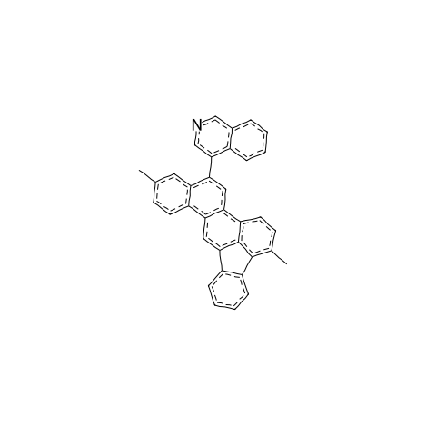 Cc1ccc2c(c1)c(-c1cncc3ccccc13)cc1c3ccc(C)c4c3c(cc21)-c1ccccc1-4